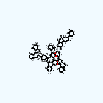 c1ccc(-c2ccc3c(ccc4cc(N(c5ccc(-c6ccc7c(ccc8ccccc87)c6)cc5)c5ccccc5-c5cccc(N(c6ccc(-c7cc8ccccc8c8c7sc7ccccc78)cc6)c6cc7ccccc7c7ccccc67)c5)ccc43)c2)cc1